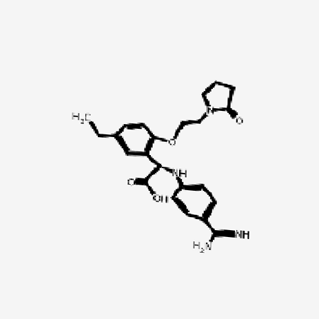 CCc1ccc(OCCN2CCCC2=O)c([C@@H](Nc2ccc(C(=N)N)cc2)C(=O)O)c1